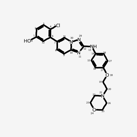 Oc1ccc(Cl)c(-c2ccc3nc(Nc4ccc(OCCN5CCOCC5)cc4)nn3c2)c1